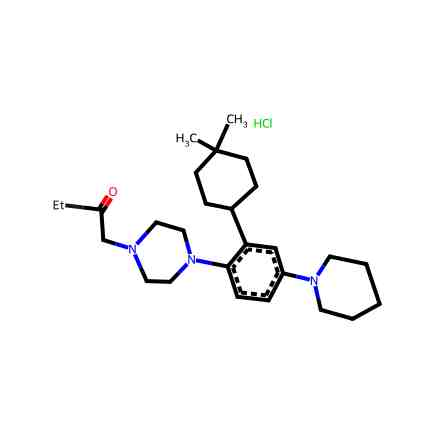 CCC(=O)CN1CCN(c2ccc(N3CCCCC3)cc2C2CCC(C)(C)CC2)CC1.Cl